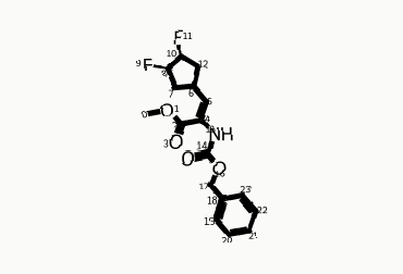 COC(=O)/C(=C\C1C[C@@H](F)[C@@H](F)C1)NC(=O)OCc1ccccc1